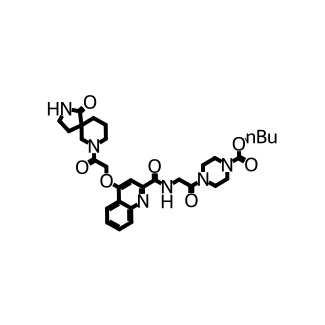 CCCCOC(=O)N1CCN(C(=O)CNC(=O)c2cc(OCC(=O)N3CCCC4(CCNC4=O)C3)c3ccccc3n2)CC1